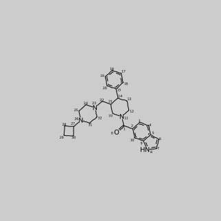 O=C(c1ccc2cc[nH]c2c1)N1CCC(c2ccccc2)C(CN2CCN(C3CCC3)CC2)C1